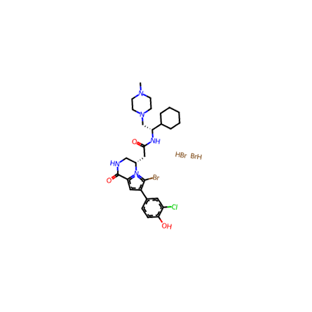 Br.Br.CN1CCN(C[C@@H](NC(=O)C[C@H]2CNC(=O)c3cc(-c4ccc(O)c(Cl)c4)c(Br)n32)C2CCCCC2)CC1